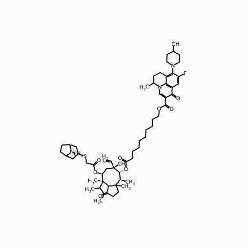 C=C[C@@]1(C)C[C@H](OC(=O)CSC2CC3CCC(C2)N3C)[C@@](C)(C(C)CC)C2C(=O)CCC2(C)[C@H](C)[C@H]1OC(=O)CCCCCCCCCOC(=O)c1cn2c3c(c(N4CCC(O)CC4)c(F)cc3c1=O)CCC2C